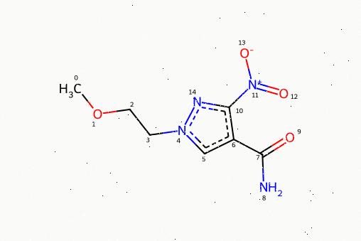 COCCn1cc(C(N)=O)c([N+](=O)[O-])n1